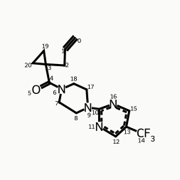 C#CCC1(C(=O)N2CCN(c3ncc(C(F)(F)F)cn3)CC2)CC1